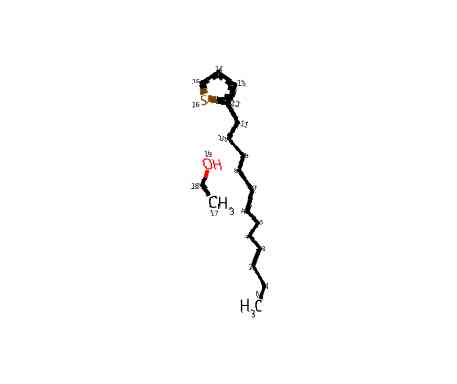 CCCCCCCCCCCCc1cccs1.CCO